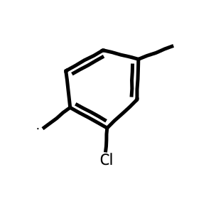 [CH2]c1ccc(C)cc1Cl